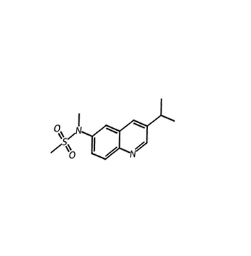 CC(C)c1cnc2ccc(N(C)S(C)(=O)=O)cc2c1